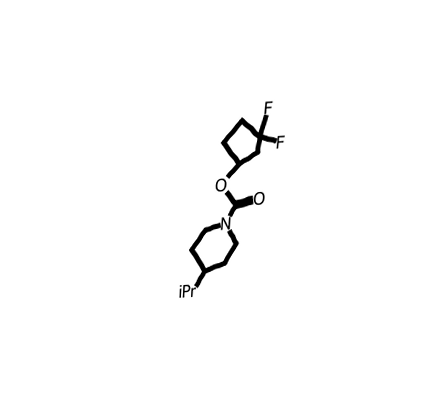 CC(C)C1CCN(C(=O)OC2CCC(F)(F)C2)CC1